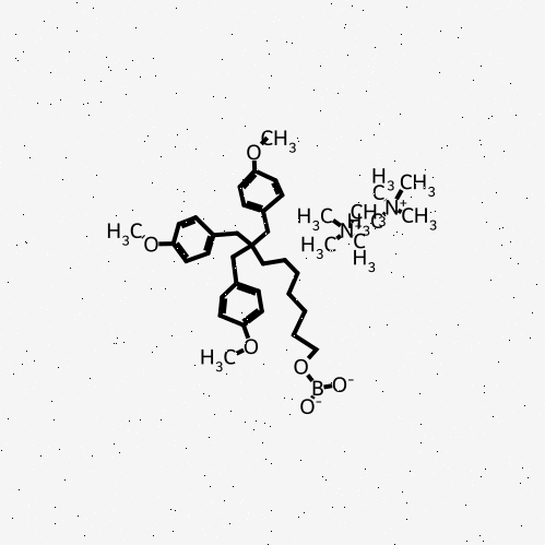 COc1ccc(CC(CCCCCCCOB([O-])[O-])(Cc2ccc(OC)cc2)Cc2ccc(OC)cc2)cc1.C[N+](C)(C)C.C[N+](C)(C)C